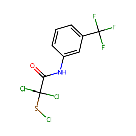 O=C(Nc1cccc(C(F)(F)F)c1)C(Cl)(Cl)SCl